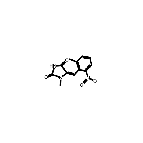 Cc1cccc([N+](=O)[O-])c1C=C1C(=O)NC(=O)N1C